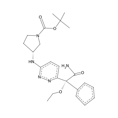 CCO[C@](C(N)=O)(c1ccccc1)c1ccc(N[C@@H]2CCN(C(=O)OC(C)(C)C)C2)nn1